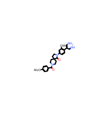 COc1ccc(C(=O)N2CCC3(CC2)CCN(c2ccc(/C(C=N)=C/N)c(OC)c2)C3=O)cc1